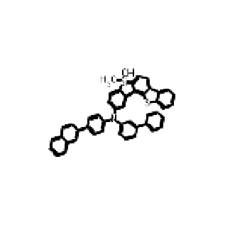 C[Si]1(C)c2ccc(N(c3ccc(-c4ccc5ccccc5c4)cc3)c3cccc(-c4ccccc4)c3)cc2-c2c1ccc1c2sc2ccccc21